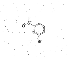 C[S+]([O-])c1cccc(Br)n1